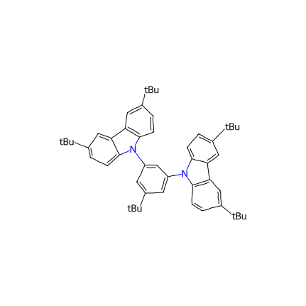 CC(C)(C)c1cc(-n2c3ccc(C(C)(C)C)cc3c3cc(C(C)(C)C)ccc32)cc(-n2c3ccc(C(C)(C)C)cc3c3cc(C(C)(C)C)ccc32)c1